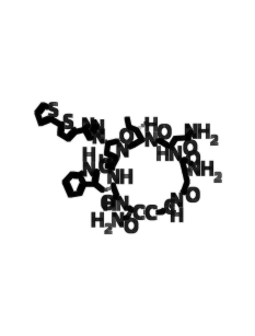 CC[C@H](C)[C@@H]1NC(=O)C(CC(N)=O)NC(=O)[C@@H](N)CC(=O)NCCCC[C@@H](C(N)=O)NC(=O)[C@H](Cc2c[nH]c3ccccc23)NC(=O)[C@@H]2C[C@H](n3cc(-c4ccc(-c5cccs5)s4)nn3)CN2C1=O